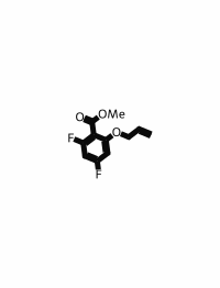 C=CCOc1cc(F)cc(F)c1C(=O)OC